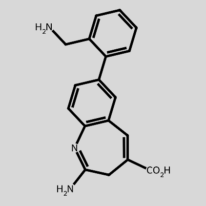 NCc1ccccc1-c1ccc2c(c1)C=C(C(=O)O)CC(N)=N2